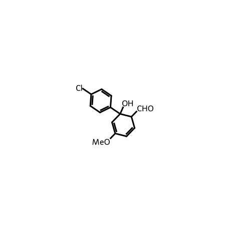 COC1=CC(O)(c2ccc(Cl)cc2)C(C=O)C=C1